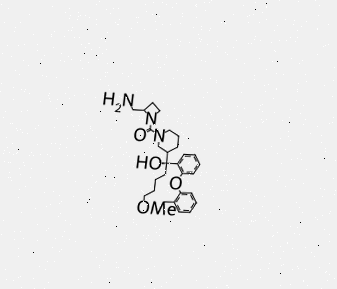 COCCCC[C@@](O)(c1ccccc1Oc1ccccc1C)C1CCCN(C(=O)N2CCC2CN)C1